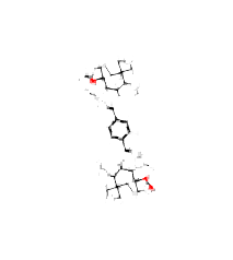 CCC1(C(OC)C(OC(=O)c2ccc(C(=O)OC(C(OC)C3(CC)COC3)C(OC)C3(CC)COC3)cc2)C(OC)C2(CC)COC2)COC1